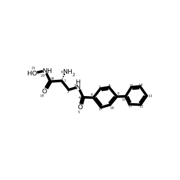 N[C@H](CNC(=O)c1ccc(-c2ccccc2)cc1)C(=O)NO